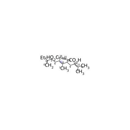 C=C(CC)CC/C=C(\C)CCC=C(C)C.O=C(O)C#CC(=O)O